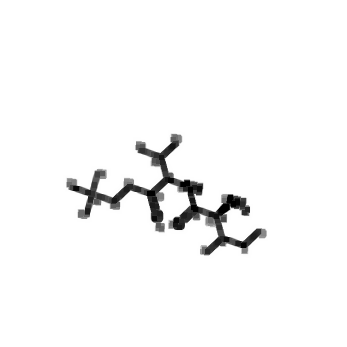 CCC(C)[C@H](N)C(=O)NC(C(=O)CCC(C)(C)C)C(C)C